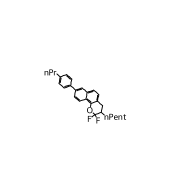 CCCCCC1Cc2ccc3cc(-c4ccc(CCC)cc4)ccc3c2OC1(F)F